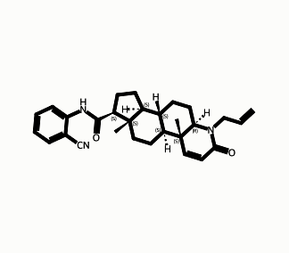 C=CCN1C(=O)C=C[C@]2(C)[C@H]3CC[C@]4(C)[C@@H](C(=O)Nc5ccccc5C#N)CC[C@H]4[C@@H]3CC[C@@H]12